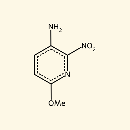 COc1ccc(N)c([N+](=O)[O-])n1